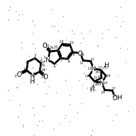 O=C1CC[C@H](N2Cc3cc(OCCN4C[C@H]5C[C@@H]4CN5CCO)ccc3C2=O)C(=O)N1